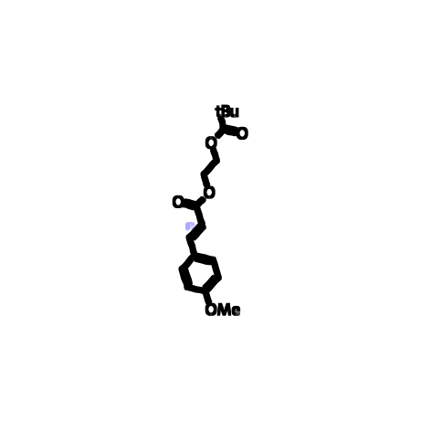 COc1ccc(/C=C/C(=O)OCCOC(=O)C(C)(C)C)cc1